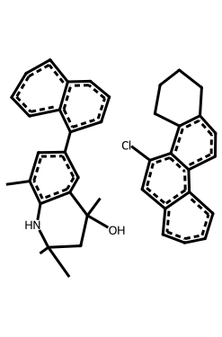 Cc1cc(-c2cccc3ccccc23)cc2c1NC(C)(C)CC2(C)O.Clc1cc2ccccc2c2ccc3c(c12)CCCC3